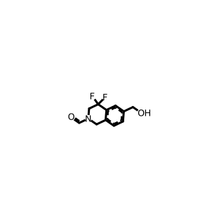 O=CN1Cc2ccc(CO)cc2C(F)(F)C1